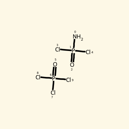 NP(=O)(Cl)Cl.O=P(Cl)(Cl)Cl